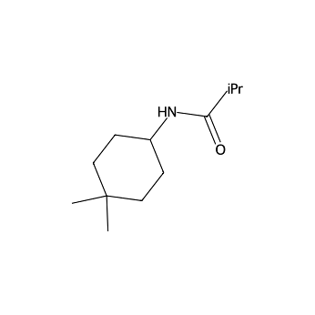 CC(C)C(=O)NC1CCC(C)(C)CC1